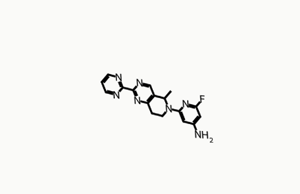 CC1c2cnc(-c3ncccn3)nc2CCN1c1cc(N)cc(F)n1